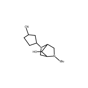 CC(C)(C)N1CC2C(O)C1CN2C1CCC(C#N)C1